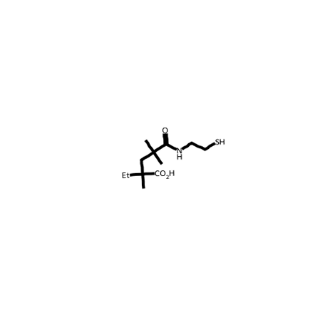 CCC(C)(CC(C)(C)C(=O)NCCS)C(=O)O